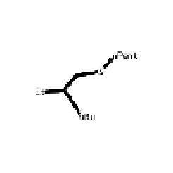 CCCCCSCC(CC)CCCC